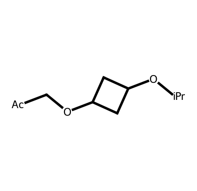 CC(=O)COC1CC(OC(C)C)C1